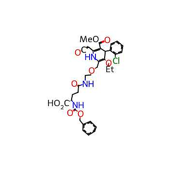 CCOC1=C(COCCNC(=O)CC[C@H](NC(=O)OCc2ccccc2)C(=O)O)NC(C=C=O)=C(C(=O)OC)C1c1ccccc1Cl